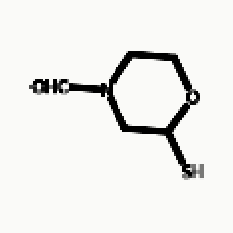 O=[C]N1CCOC(S)C1